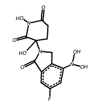 O=C1CCC(O)(N2Cc3c(cc(F)cc3N(O)O)C2=O)C(=O)N1O